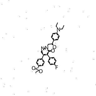 CCN(CC)c1ccc(C(=O)Cn2ncc(-c3ccc(S(C)(=O)=O)cc3)c(-c3ccc(F)cc3)c2=O)cc1